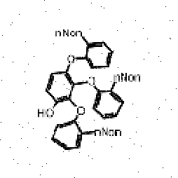 CCCCCCCCCc1ccccc1Oc1ccc(O)c(Oc2ccccc2CCCCCCCCC)c1Oc1ccccc1CCCCCCCCC